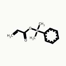 C=CC(=O)OS(C)(C)c1ccccc1